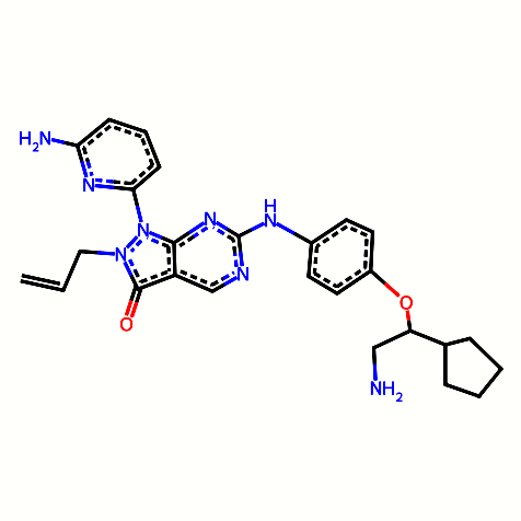 C=CCn1c(=O)c2cnc(Nc3ccc(OC(CN)C4CCCC4)cc3)nc2n1-c1cccc(N)n1